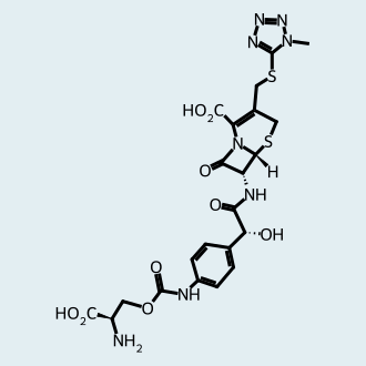 Cn1nnnc1SCC1=C(C(=O)O)N2C(=O)[C@@H](NC(=O)[C@H](O)c3ccc(NC(=O)OC[C@@H](N)C(=O)O)cc3)[C@H]2SC1